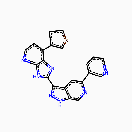 c1cncc(-c2cc3c(-c4nc5c(-c6ccsc6)ccnc5[nH]4)n[nH]c3cn2)c1